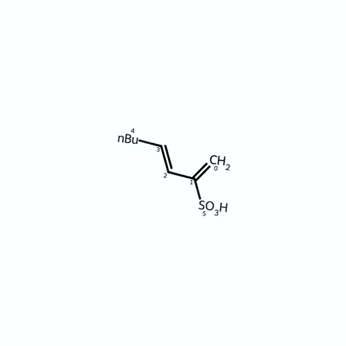 C=C(C=CCCCC)S(=O)(=O)O